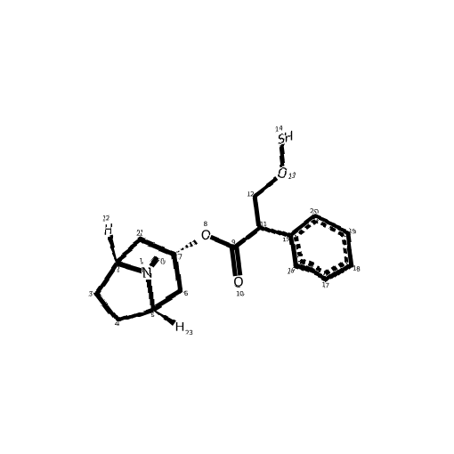 CN1[C@@H]2CC[C@H]1C[C@@H](OC(=O)C(COS)c1ccccc1)C2